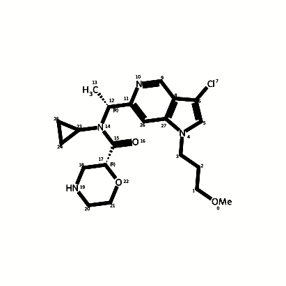 COCCCn1cc(Cl)c2cnc([C@@H](C)N(C(=O)[C@H]3CNCCO3)C3CC3)cc21